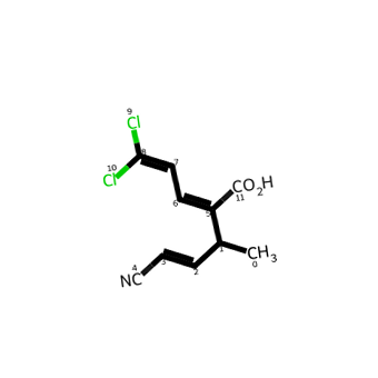 CC(C=CC#N)C(=CC=C(Cl)Cl)C(=O)O